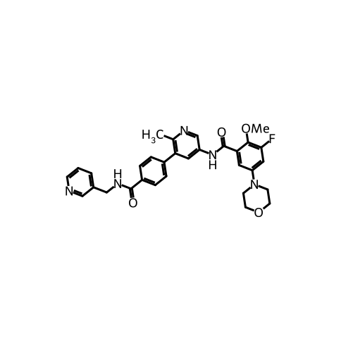 COc1c(F)cc(N2CCOCC2)cc1C(=O)Nc1cnc(C)c(-c2ccc(C(=O)NCc3cccnc3)cc2)c1